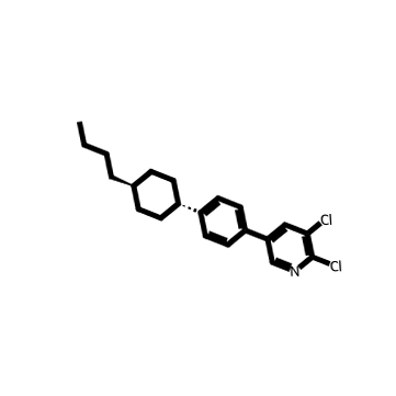 CCCC[C@H]1CC[C@H](c2ccc(-c3cnc(Cl)c(Cl)c3)cc2)CC1